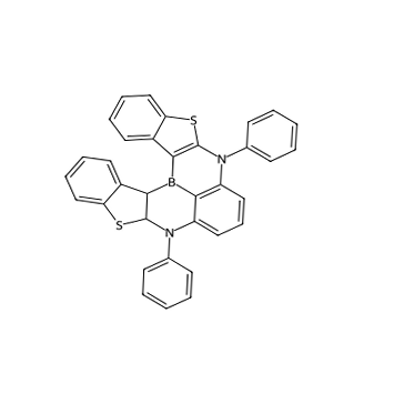 c1ccc(N2c3cccc4c3B(c3c2sc2ccccc32)C2c3ccccc3SC2N4c2ccccc2)cc1